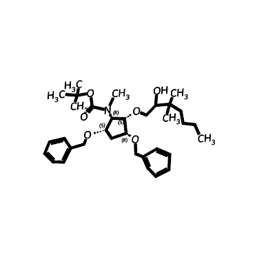 CCCCC(C)(C)C(O)CO[C@H]1[C@H](N(C)C(=O)OC(C)(C)C)[C@@H](OCc2ccccc2)C[C@H]1OCc1ccccc1